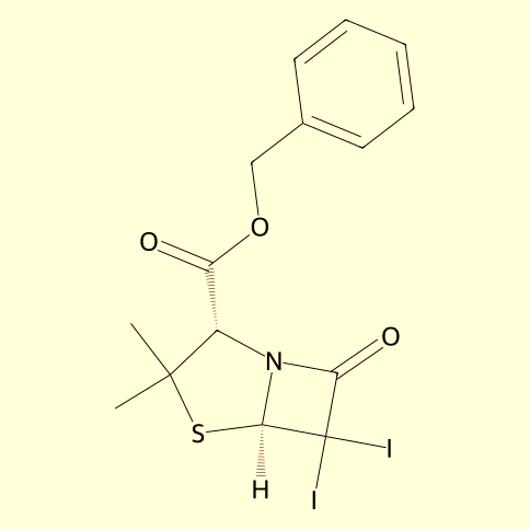 CC1(C)S[C@H]2N(C(=O)C2(I)I)[C@H]1C(=O)OCc1ccccc1